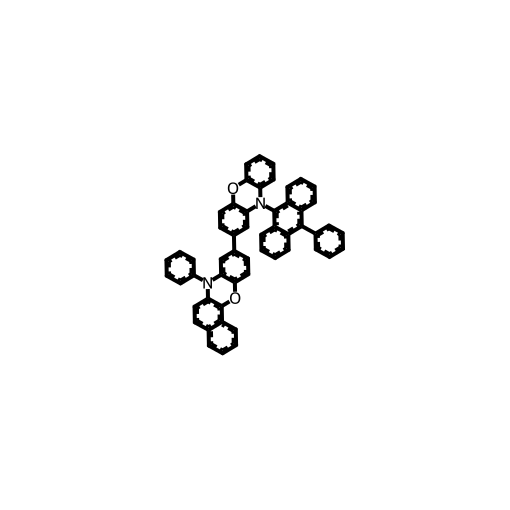 c1ccc(-c2c3ccccc3c(N3c4ccccc4Oc4ccc(-c5ccc6c(c5)N(c5ccccc5)c5ccc7ccccc7c5O6)cc43)c3ccccc23)cc1